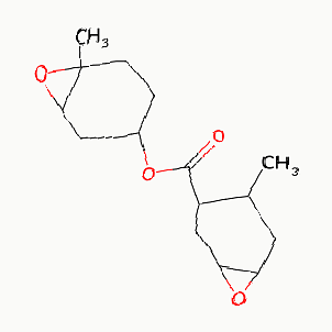 CC1CC2OC2CC1C(=O)OC1CCC2(C)OC2C1